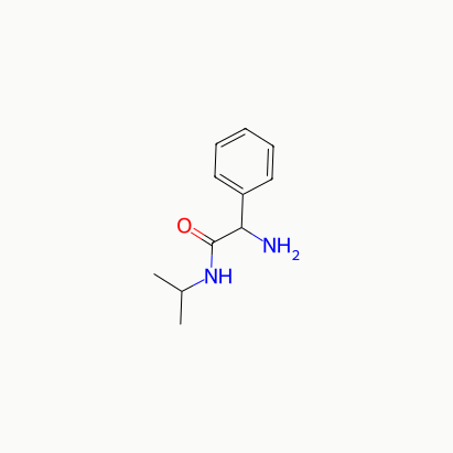 CC(C)NC(=O)C(N)c1ccccc1